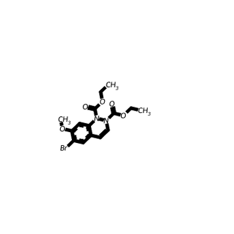 CCOC(=O)N1C=Cc2cc(Br)c(OC)cc2N1C(=O)OCC